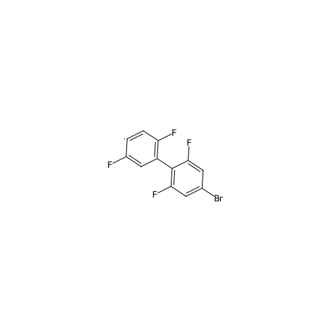 Fc1[c]cc(F)c(-c2c(F)cc(Br)cc2F)c1